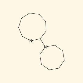 C1CCC[N]C(N2CCCCCCC2)CCC1